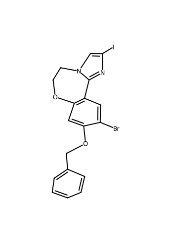 Brc1cc2c(cc1OCc1ccccc1)OCCn1cc(I)nc1-2